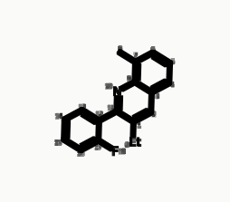 CCc1cc2cccc(C)c2nc1-c1ccccc1F